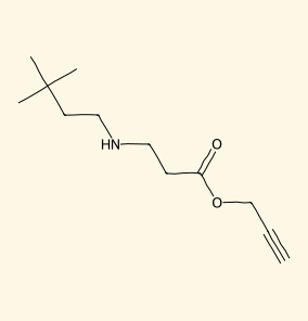 C#CCOC(=O)CCNCCC(C)(C)C